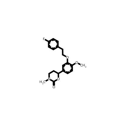 COc1ccc(C2CCN(C)C(=O)O2)cc1OCCc1ccc(F)cc1